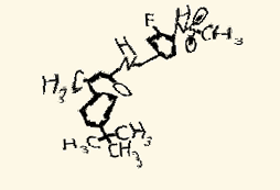 CC(=CC(=O)NCc1ccc(NS(C)(=O)=O)c(F)c1)c1ccc(C(C)(C)C)cc1